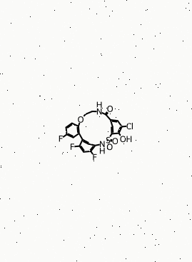 O=C1NCCOc2ccc(F)cc2-c2cc(c(F)cc2F)NS(=O)(=O)c2cc1cc(Cl)c2O